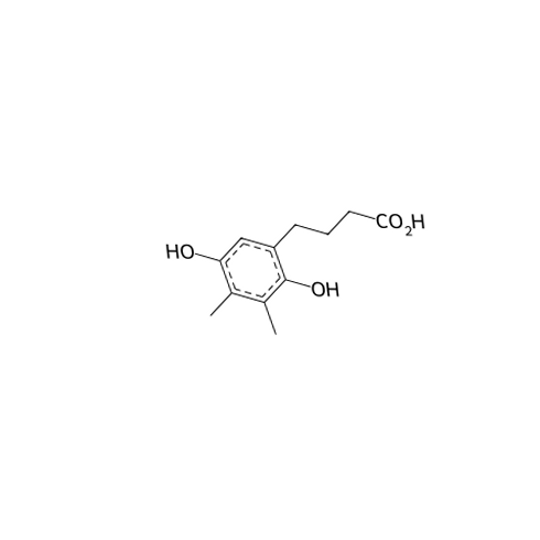 Cc1c(O)cc(CCCC(=O)O)c(O)c1C